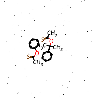 CC(=S)OC(C)(C)c1ccccc1.CC(=S)Oc1ccccc1